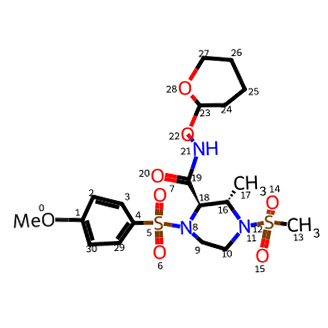 COc1ccc(S(=O)(=O)N2CCN(S(C)(=O)=O)[C@@H](C)[C@@H]2C(=O)NOC2CCCCO2)cc1